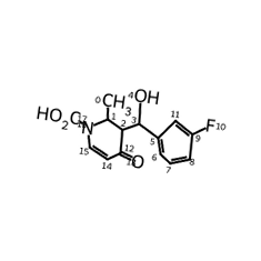 CC1C(C(O)c2cccc(F)c2)C(=O)C=CN1C(=O)O